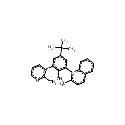 Cc1c(-[n+]2cccnc2C)cc(C(C)(C)C)cc1-[n+]1c(C)ccc2ccccc21